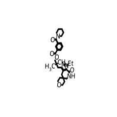 CCn1nc(CC(C)(C)COC(=O)c2cccc(C(=O)N3CCCCC3)c2)c2c1C(=O)NCC1(CCOCC1)C2